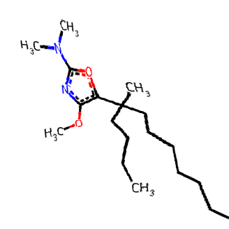 CCCCCCCC(C)(CCCC)c1oc(N(C)C)nc1OC